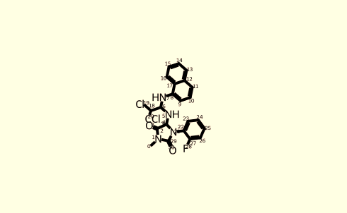 CN1C(=O)C(NC(Nc2cccc3ccccc23)C(Cl)C(Cl)(Cl)Cl)N(c2ccccc2F)C1=O